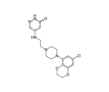 O=c1cc(NCCN2CCN(c3cc(Cl)cc4c3OCCO4)CC2)cn[nH]1